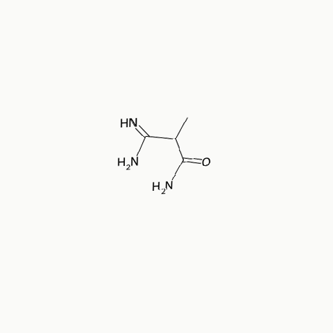 CC(C(=N)N)C(N)=O